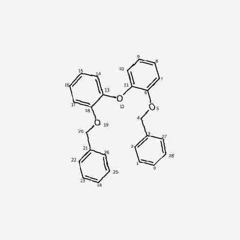 c1ccc(COc2ccccc2Oc2ccccc2OCc2ccccc2)cc1